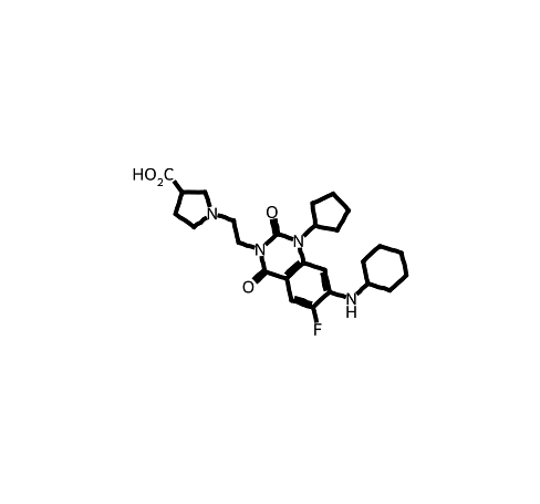 O=C(O)C1CCN(CCn2c(=O)c3cc(F)c(NC4CCCCC4)cc3n(C3CCCC3)c2=O)C1